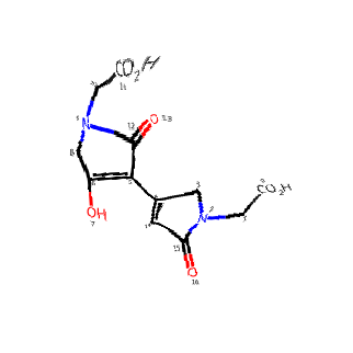 O=C(O)CN1CC(C2=C(O)CN(CC(=O)O)C2=O)=CC1=O